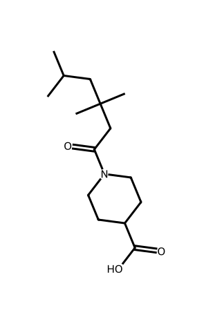 CC(C)CC(C)(C)CC(=O)N1CCC(C(=O)O)CC1